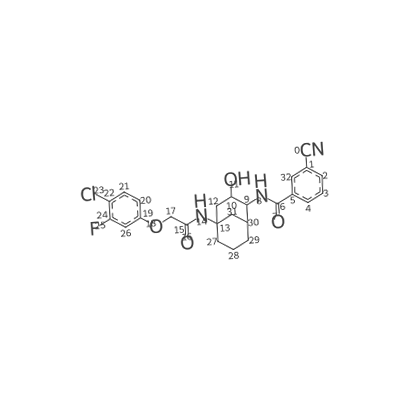 N#Cc1cccc(C(=O)NC2C(O)CC3(NC(=O)COc4ccc(Cl)c(F)c4)CCCC2C3)c1